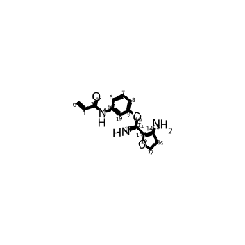 C=CC(=O)Nc1cccc(OC(=N)C2=C(N)CCO2)c1